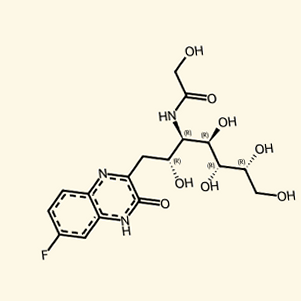 O=C(CO)N[C@@H]([C@@H](O)[C@@H](O)[C@H](O)CO)[C@H](O)Cc1nc2ccc(F)cc2[nH]c1=O